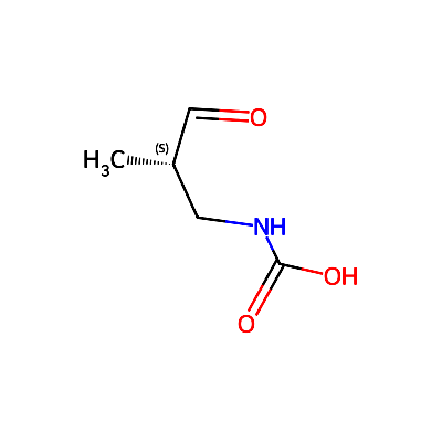 C[C@H](C=O)CNC(=O)O